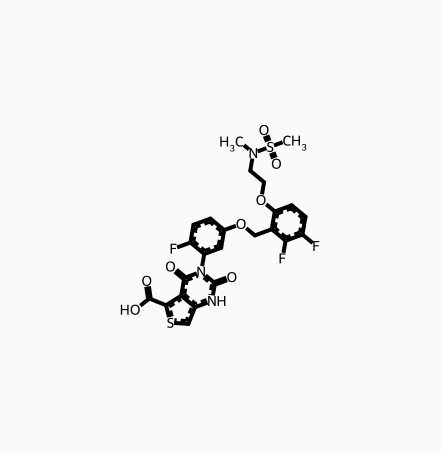 CN(CCOc1ccc(F)c(F)c1COc1ccc(F)c(-n2c(=O)[nH]c3csc(C(=O)O)c3c2=O)c1)S(C)(=O)=O